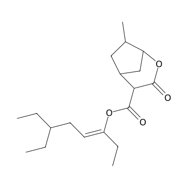 CC/C(=C/CC(CC)CC)OC(=O)C1C(=O)OC2CC1CC2C